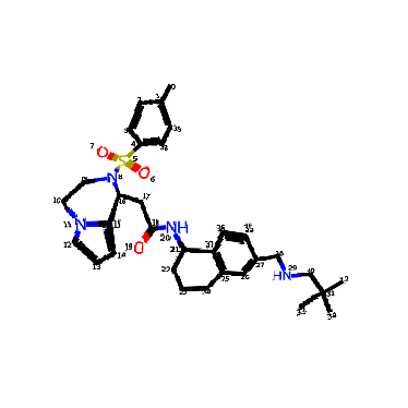 Cc1ccc(S(=O)(=O)N2CCn3cccc3C2CC(=O)NC2CCCc3cc(CNCC(C)(C)C)ccc32)cc1